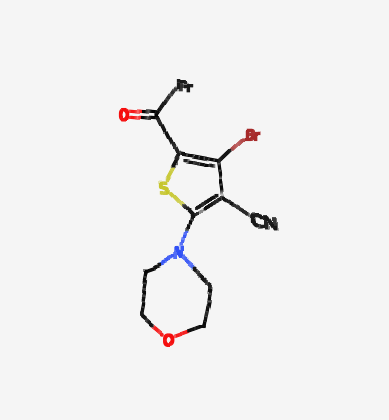 CC(C)C(=O)c1sc(N2CCOCC2)c(C#N)c1Br